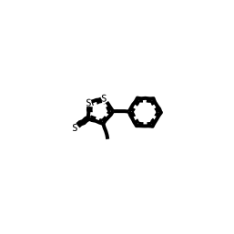 Cc1c(-c2ccccc2)ssc1=S